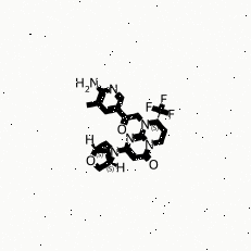 Cc1cc(C(=O)CN2c3nc(N4C[C@@H]5C[C@H]4CO5)cc(=O)n3CC[C@H]2C(F)(F)F)cnc1N